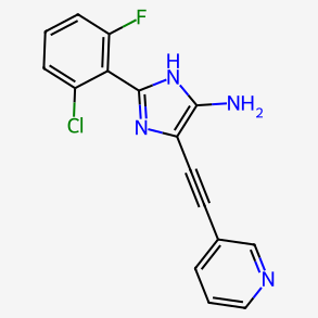 Nc1[nH]c(-c2c(F)cccc2Cl)nc1C#Cc1cccnc1